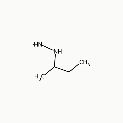 CCC(C)N[NH]